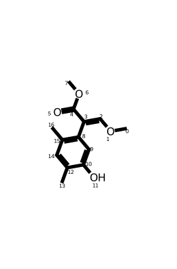 CO/C=C(/C(=O)OC)c1cc(O)c(C)cc1C